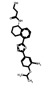 CC(C)OC1CC=C(c2nnc(-c3cccc4c3CCC[C@@H]4NC(=O)CCO)s2)C=C1N